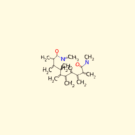 C=NC(=O)C(=C)C(=C)C(=C)C(=C)C(=C)C(=C)C(=C)C(=C)C(=O)N=C